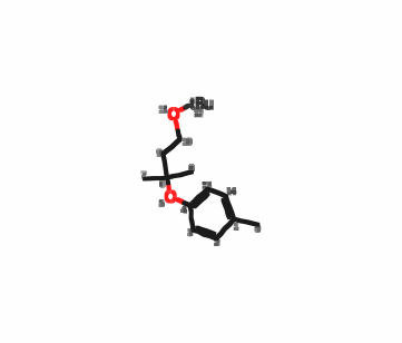 Cc1ccc(OC(C)(C)CCOC(C)(C)C)cc1